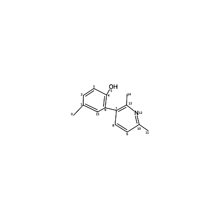 Cc1ccc(O)c(-c2ccc(C)nc2C)c1